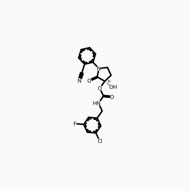 N#Cc1ccccc1N1CC[C@@](O)(OC(=O)NCc2cc(F)cc(Cl)c2)C1=O